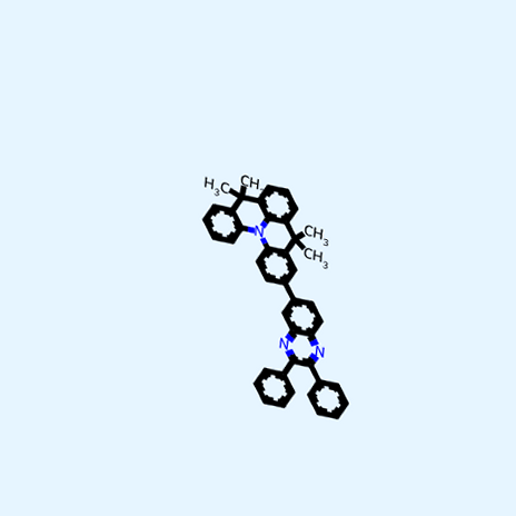 CC1(C)c2ccccc2N2c3ccc(-c4ccc5nc(-c6ccccc6)c(-c6ccccc6)nc5c4)cc3C(C)(C)c3cccc1c32